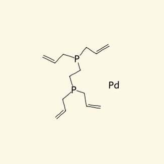 C=CCP(CC=C)CCP(CC=C)CC=C.[Pd]